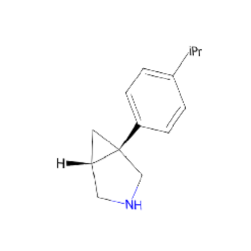 CC(C)c1ccc([C@@]23CNC[C@@H]2C3)cc1